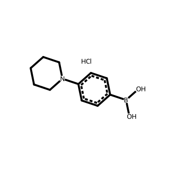 Cl.OB(O)c1ccc(N2CCCCC2)cc1